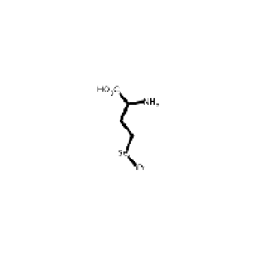 CC(C)[Se]CCC(N)C(=O)O